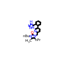 CCCCn1c(C)c(CCC)n(Cc2ccc(-c3ccccc3-c3nnn[nH]3)cn2)c1=O